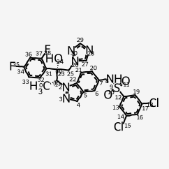 C[C@@H](n1ncc2cc(NS(=O)(=O)c3cc(Cl)cc(Cl)c3)ccc21)[C@](O)(Cn1cncn1)c1ccc(F)cc1F